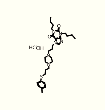 CCCCn1c(=O)c2c(ncn2CCCN2CCN(CCCSc3ccc(C)cc3)CC2)n(CCCC)c1=O.Cl.Cl